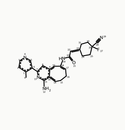 Cc1ccncc1-c1cc2/c(c(N)n1)=C\CC/C=C(NC(=O)C=C1CCC(F)(C#N)CC1)\C=2